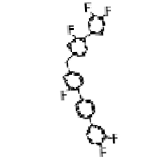 Fc1ccc(-c2ccc(-c3ccc(Cc4ccc(-c5ccc(F)c(F)c5)c(F)c4)cc3F)cc2)cc1F